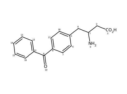 NC(CC(=O)O)Cc1ccc(C(=O)c2ccccc2)cc1